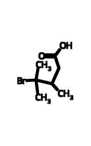 CC(CC(=O)O)C(C)(C)Br